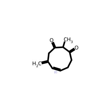 C=C1/C=C\CCC(=O)C(C)C(=O)C1